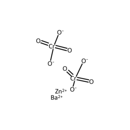 [Ba+2].[O]=[Cr](=[O])([O-])[O-].[O]=[Cr](=[O])([O-])[O-].[Zn+2]